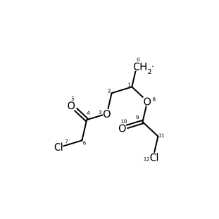 [CH2]C(COC(=O)CCl)OC(=O)CCl